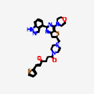 O=C(C=Cc1cccs1)CCC(=O)N1CCN(Cc2cc3nc(-c4cccc5[nH]ncc45)nc(N4CCOCC4)c3s2)CC1